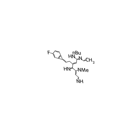 C=C/N=C(\C=C(/C/C=C1\c2ccc(F)cc21)C(=N)/C(=C/C=N)NC)NCCCC